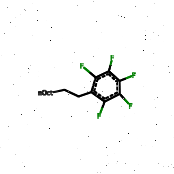 [CH2]CCCCCCCCCc1c(F)c(F)c(F)c(F)c1F